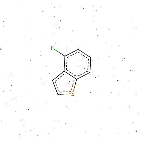 Fc1[c]ccc2sccc12